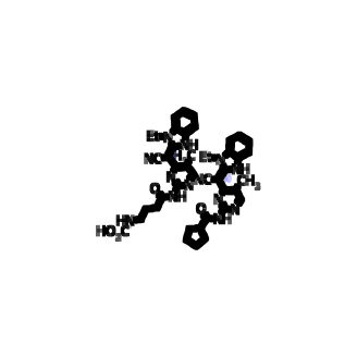 CCN1/C(=C(\C#N)c2nc(NC(=O)C3CCCC3)ncc2C)Nc2ccccc21.CCN1/C(=C(\C#N)c2nc(NC(=O)CCCNC(=O)O)ncc2C)Nc2ccccc21